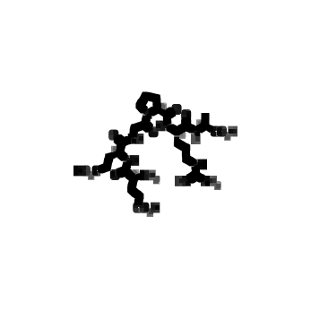 C[C@H](NC(=O)[C@H](CCCNC(=N)N)NC(=O)[C@@H]1CCCN1C(=O)CNC(=O)[C@H](CCC(=O)O)NC(=O)[C@@H](N)CCC(=O)O)C(=O)O